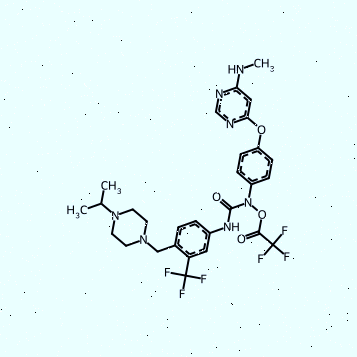 CNc1cc(Oc2ccc(N(OC(=O)C(F)(F)F)C(=O)Nc3ccc(CN4CCN(C(C)C)CC4)c(C(F)(F)F)c3)cc2)ncn1